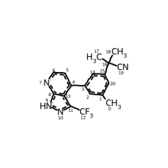 Cc1cc(-c2ccnc3[nH]nc(C(F)(F)F)c23)cc(C(C)(C)C#N)c1